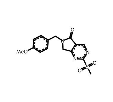 COc1ccc(CN2Cc3nc(S(C)(=O)=O)ncc3C2=O)cc1